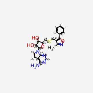 Cc1noc(-c2ccccc2)c1CSC[C@H]1O[C@@H](n2ccc3c(N)ncnc32)[C@H](O)[C@@H]1O